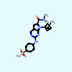 C[C@@H]1C2CC1(n1c(C(=O)N(C)C)cc3cnc(Nc4ccc(S(C)(=O)=O)cc4)nc31)C2